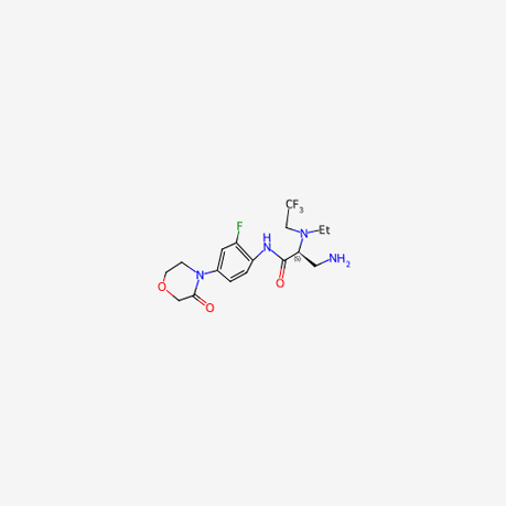 CCN(CC(F)(F)F)[C@@H](CN)C(=O)Nc1ccc(N2CCOCC2=O)cc1F